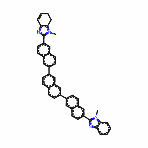 Cn1c(-c2ccc3cc(-c4ccc5ccc(-c6ccc7cc(-c8nc9ccccc9n8C)ccc7c6)cc5c4)ccc3c2)nc2c1CCC=C2